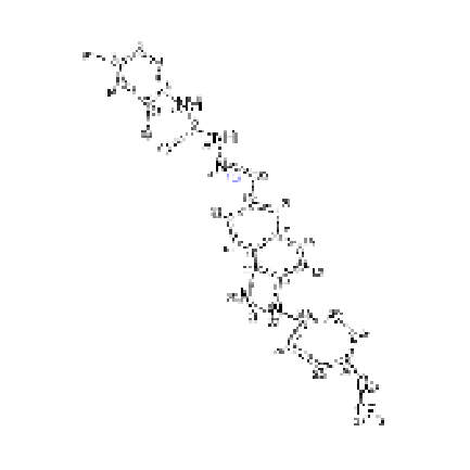 Cc1ccc(NC(=S)N/N=C/c2ccc3c(ccc4c3ncn4-c3ccc(OC(F)(F)F)cc3)c2)c(C)c1